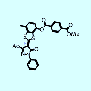 COC(=O)c1ccc(C(=O)Oc2ccc(C)c3c2S/C(=C2\C(=O)N(c4ccccc4)N=C2C(C)=O)S3)cc1